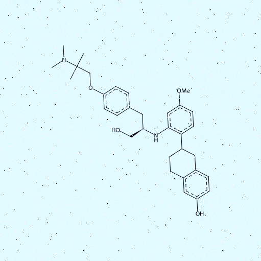 COc1ccc(C2CCc3cc(O)ccc3C2)c(N[C@@H](CO)Cc2ccc(OCC(C)(C)N(C)C)cc2)c1